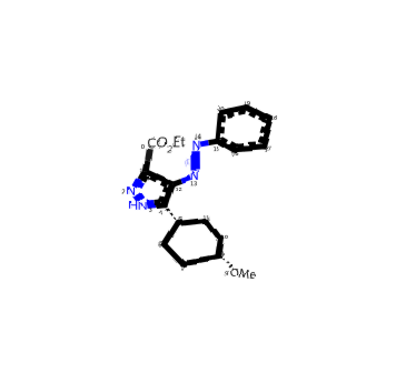 CCOC(=O)c1n[nH]c([C@H]2CC[C@@H](OC)CC2)c1/N=N/c1ccccc1